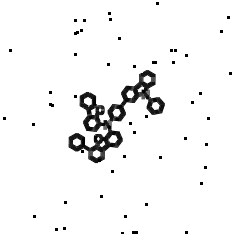 c1ccc(-c2cccc3c2oc2c(N(c4ccc(-c5ccc6c7ccccc7n(-c7ccccc7)c6c5)cc4)c4cccc5c4oc4ccccc45)cccc23)cc1